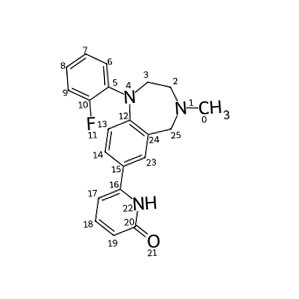 CN1CCN(c2ccccc2F)c2ccc(-c3cccc(=O)[nH]3)cc2C1